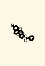 CC[C@]12CCC(=O)C=C1CC[C@@H]1[C@@H]2CC[C@]2(C)C(OC(=O)c3ccccc3)CC[C@@H]12